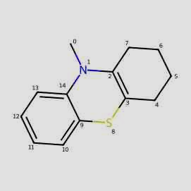 CN1C2=C(CCCC2)Sc2ccccc21